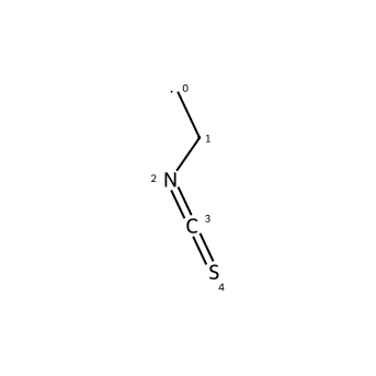 [CH2]CN=C=S